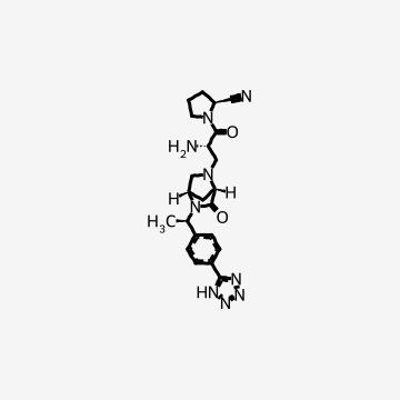 C[C@H](c1ccc(-c2nnn[nH]2)cc1)N1C(=O)[C@@H]2C[C@H]1CN2C[C@H](N)C(=O)N1CCC[C@H]1C#N